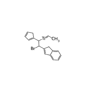 C[CH]=[Ti][CH](C1=CC=CC1)C(Br)C1=Cc2ccccc2C1